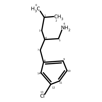 CC(C)CC(CN)Cc1cccc(Cl)c1